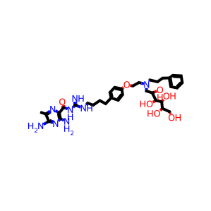 Cc1nc(C(=O)NC(=N)NCCCCc2ccc(OCCN(CCCc3ccccc3)CC(O)C(O)C(O)C(O)CO)cc2)c(N)nc1N